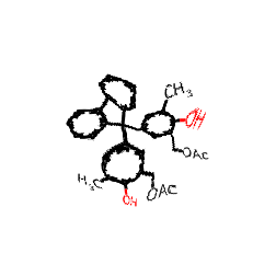 CC(=O)OCc1cc(C2(c3cc(C)c(O)c(COC(C)=O)c3)c3ccccc3-c3ccccc32)cc(C)c1O